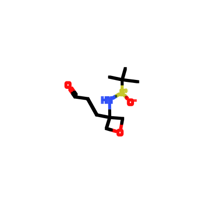 CC(C)(C)[S+]([O-])NC1(CCC=O)COC1